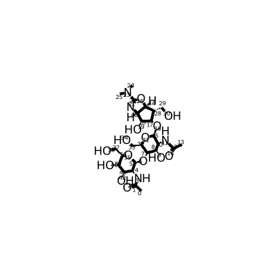 CC(=O)N[C@H]1[C@H](O[C@H]2[C@@H](O)[C@@H](NC(C)=O)[C@H](O[C@H]3[C@H](O)[C@H]4N=C(N(C)C)O[C@H]4[C@@H]3CO)O[C@@H]2CO)O[C@H](CO)[C@@H](O)[C@H]1O